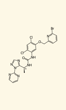 C[C@H](NC(=O)Nc1cc(OCc2cccc(Br)n2)c(Cl)cc1Cl)c1ncnn1-c1ncccn1